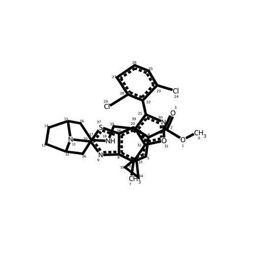 COC(=O)c1cc(C)c2nc(N3C4CCC3CC(NCc3c(-c5c(Cl)cccc5Cl)noc3C3CC3)C4)sc2c1